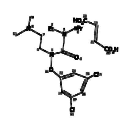 CCCN(CC)C(=O)N(CCN(C)C)Oc1cc(Cl)cc(Cl)c1.O=C(O)C=CC(=O)O